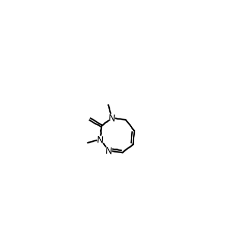 C=C1N(C)C/C=C\C=N/N1C